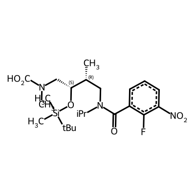 CC(C)N(C[C@@H](C)[C@@H](CN(C)C(=O)O)O[Si](C)(C)C(C)(C)C)C(=O)c1cccc([N+](=O)[O-])c1F